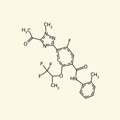 CC(=O)c1nc(-c2cc(OC(C)C(F)(F)F)c(C(=O)Nc3ccccc3C)cc2F)nn1C